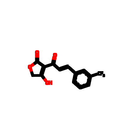 O=C(/C=C/c1cccc(C(F)(F)F)c1)C1=C(O)COC1=O